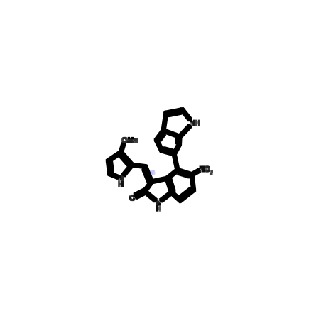 COc1cc[nH]c1/C=C1\C(=O)Nc2ccc([N+](=O)[O-])c(-c3ccc4cc[nH]c4c3)c21